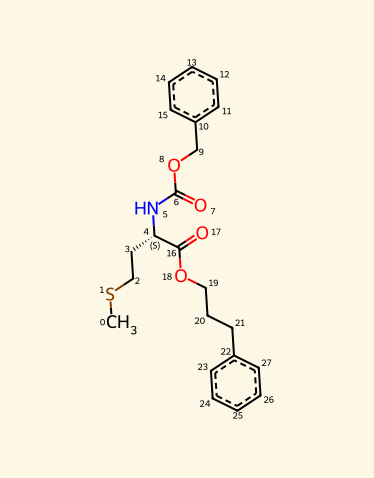 CSCC[C@H](NC(=O)OCc1ccccc1)C(=O)OCCCc1ccccc1